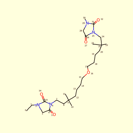 CCN1CC(=O)N(CCC(C)(C)CCCCOCCCCC(C)(C)CN2C(=O)CN(C)C2=O)C1=O